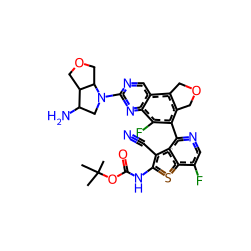 CC(C)(C)OC(=O)Nc1sc2c(F)cnc(-c3c4c(c5cnc(N6CC(N)C7COCC76)nc5c3F)COC4)c2c1C#N